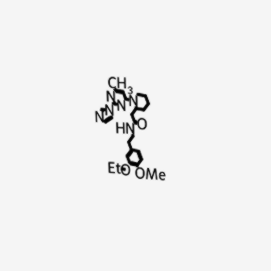 CCOc1cc(CCNC(=O)CC2CCCCN2c2cc(C)nc(-n3ccnc3)n2)ccc1OC